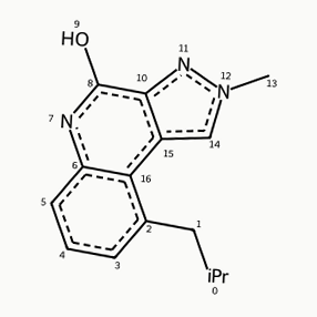 CC(C)Cc1cccc2nc(O)c3nn(C)cc3c12